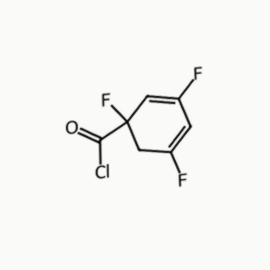 O=C(Cl)C1(F)C=C(F)C=C(F)C1